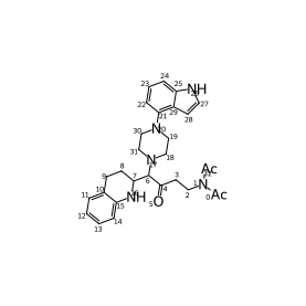 CC(=O)N(CCC(=O)C(C1CCc2ccccc2N1)N1CCN(c2cccc3[nH]ccc23)CC1)C(C)=O